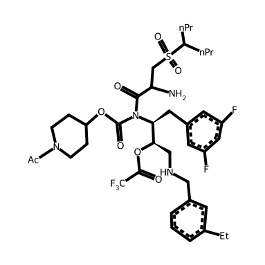 CCCC(CCC)S(=O)(=O)CC(N)C(=O)N(C(=O)OC1CCN(C(C)=O)CC1)[C@@H](Cc1cc(F)cc(F)c1)[C@@H](CNCc1cccc(CC)c1)OC(=O)C(F)(F)F